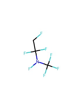 FCC(F)(F)N(F)C(F)(F)F